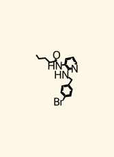 CCCCC(=O)Nc1cccnc1NCc1ccc(Br)cc1